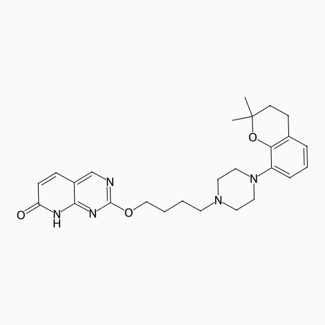 CC1(C)CCc2cccc(N3CCN(CCCCOc4ncc5ccc(=O)[nH]c5n4)CC3)c2O1